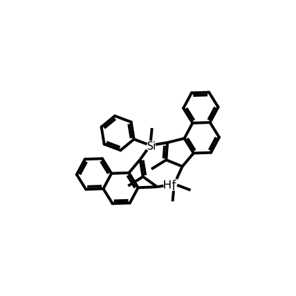 CC1=C2c3c(ccc4ccccc34)[CH]1[Hf]([CH3])([CH3])[CH]1C(C)=C(c3c1ccc1ccccc31)[Si]2(C)c1ccccc1